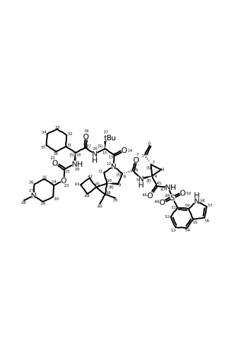 C=C[C@@H]1C[C@]1(NC(=O)[C@@H]1C[C@@]2(CN1C(=O)[C@@H](NC(=O)[C@@H](NC(=O)OC1CCN(C)CC1)C1CCCCC1)C(C)(C)C)C(C)(C)C21CCC1)C(=O)NS(=O)(=O)c1cccc2cc[nH]c12